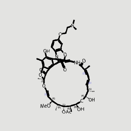 CO[C@H]1/C=C/O[C@@]2(C)Oc3c(C)c(O)c4c(=O)c(c5oc6cc(OCCN(C)C)ccc6nc-5c4c3C2=O)NC(=O)/C(C)=C\C=C\[C@H](C)[C@H](O)C[C@@H](O)[C@@H](C)[C@H](OC(C)=O)[C@@H]1C